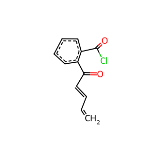 C=CC=CC(=O)c1ccccc1C(=O)Cl